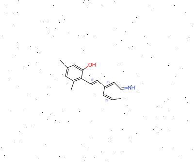 C\C=C/C(/C=C/c1c(C)cc(C)cc1O)=C\C=N